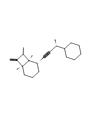 CCCCC1C(=O)[C@@]2(O)CC[C@@H](O)[C@H](C#C[C@@H](O)C3CCCCC3)[C@@H]12